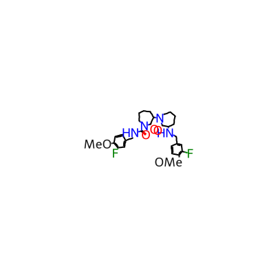 COc1ccc(CNC(=O)N2CCCCC(N3CCCCC(NCc4ccc(OC)c(F)c4)C3=O)C2=O)cc1F